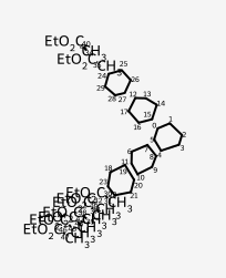 C1CCCCC1.C1CCCCC1.C1CCCCC1.C1CCCCC1.C1CCCCC1.CCOC(C)=O.CCOC(C)=O.CCOC(C)=O.CCOC(C)=O.CCOC(C)=O.CCOC(C)=O.CCOC(C)=O.CCOC(C)=O.CCOC(C)=O